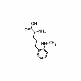 CNc1ccccc1CCCC(N)C(=O)O